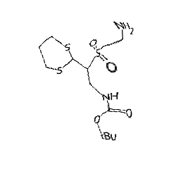 CC(C)(C)OC(=O)NCC(C1SCCCS1)S(=O)(=O)CN